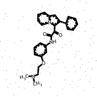 CN(C)CCOc1cccc(NC(=O)C(=O)c2c(-c3ccccc3)cc3ccccn23)c1